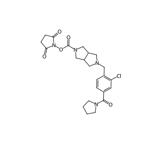 O=C(ON1C(=O)CCC1=O)N1CC2CN(Cc3ccc(C(=O)N4CCCC4)cc3Cl)CC2C1